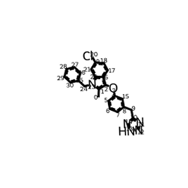 Cc1c(Oc2cccc(Cc3nn[nH]n3)c2)c2ccc(Cl)cc2n1Cc1ccccc1